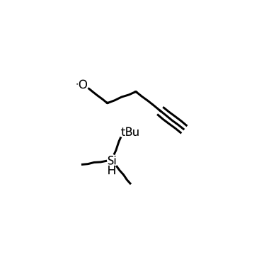 C#CCC[O].C[SiH](C)C(C)(C)C